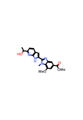 COC(=O)c1cc(OC)c2c(c1)nc(-c1cc3ccc(C(C)O)nc3[nH]1)n2C